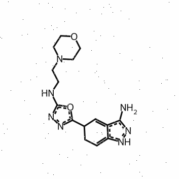 Nc1n[nH]c2c1=CC(c1nnc(NCCN3CCOCC3)o1)CC=2